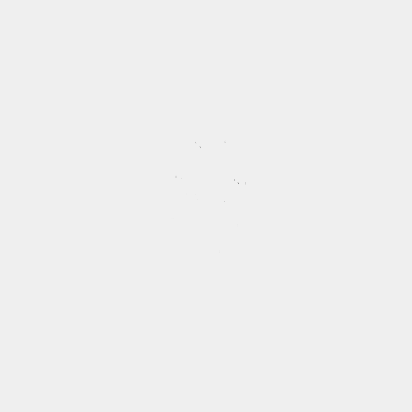 Ic1ccc2ncn[c]c2c1